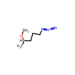 C[SiH](CCCN=[N+]=[N-])O[SiH3]